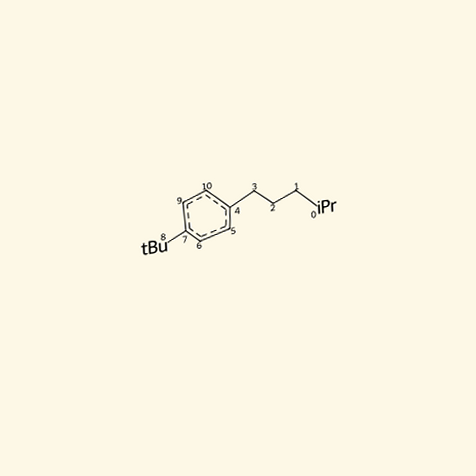 CC(C)CCCc1ccc(C(C)(C)C)cc1